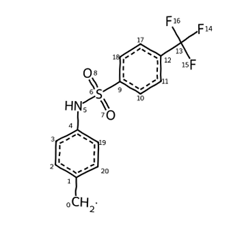 [CH2]c1ccc(NS(=O)(=O)c2ccc(C(F)(F)F)cc2)cc1